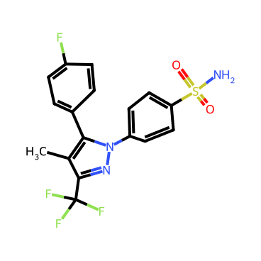 Cc1c(C(F)(F)F)nn(-c2ccc(S(N)(=O)=O)cc2)c1-c1ccc(F)cc1